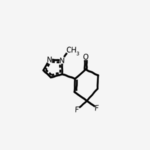 Cn1nccc1C1=CC(F)(F)CCC1=O